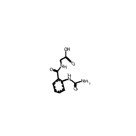 NC(=O)Nc1ccccc1C(=O)NCC(=O)O